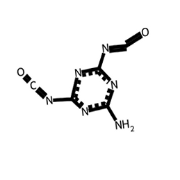 Nc1nc(N=C=O)nc(N=C=O)n1